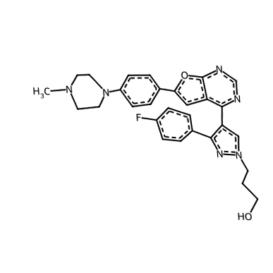 CN1CCN(c2ccc(-c3cc4c(-c5cn(CCCO)nc5-c5ccc(F)cc5)ncnc4o3)cc2)CC1